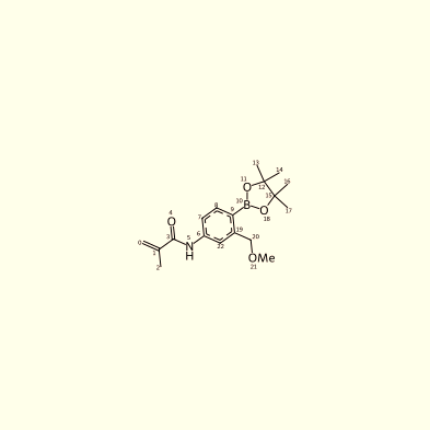 C=C(C)C(=O)Nc1ccc(B2OC(C)(C)C(C)(C)O2)c(COC)c1